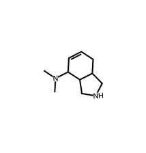 CN(C)C1C=CCC2CNCC21